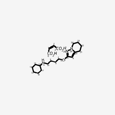 O=C(O)/C=C\C(=O)O.c1c(OCCCCNC2CCCCC2)nn2c1CCCC2